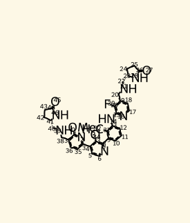 COc1nc(-c2ccnc(-c3cccc(Nc4nccc(CNC[C@@H]5CCC(=O)N5)c4F)c3C)c2Cl)ccc1CNC[C@@H]1CCC(=O)N1